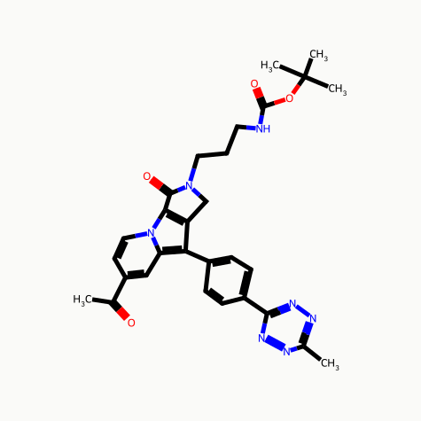 CC(=O)c1ccn2c3c(c(-c4ccc(-c5nnc(C)nn5)cc4)c2c1)CN(CCCNC(=O)OC(C)(C)C)C3=O